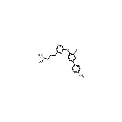 CC(=O)N(C)CCCc1cncc(Oc2ccc(-c3cnc(N)cn3)cc2F)n1